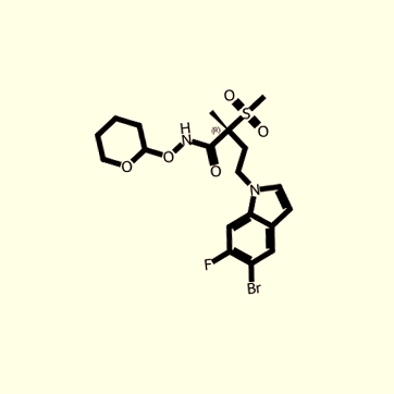 C[C@@](CCn1ccc2cc(Br)c(F)cc21)(C(=O)NOC1CCCCO1)S(C)(=O)=O